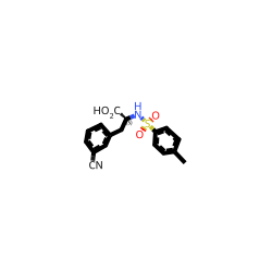 Cc1ccc(S(=O)(=O)N[C@@H](Cc2cccc(C#N)c2)C(=O)O)cc1